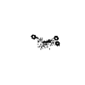 CC(C)(C)n1nc(C2CC(O[Si](c3ccccc3)(c3ccccc3)C(C)(C)C)C2)cc1NC(=O)OCc1ccccc1